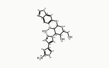 COC1C(Sc2ccc3ncsc3c2)OC(CO)C(O)C1n1cc(-c2csc(N)n2)nn1